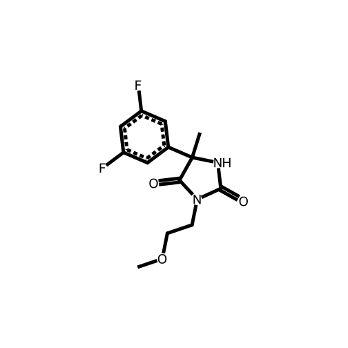 COCCN1C(=O)NC(C)(c2cc(F)cc(F)c2)C1=O